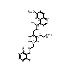 COc1ccc2nccc([C@H](F)CC[C@@H]3CCN(CCSc4c(F)cccc4F)C[C@H]3CCC(=O)O)c2c1